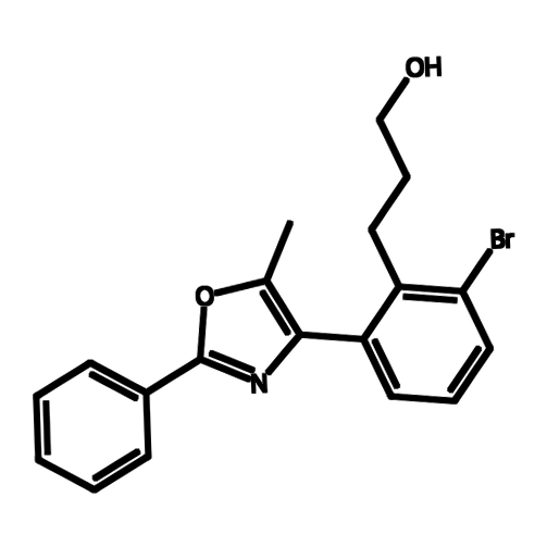 Cc1oc(-c2ccccc2)nc1-c1cccc(Br)c1CCCO